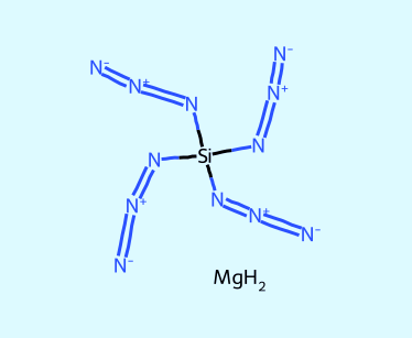 [MgH2].[N-]=[N+]=N[Si](N=[N+]=[N-])(N=[N+]=[N-])N=[N+]=[N-]